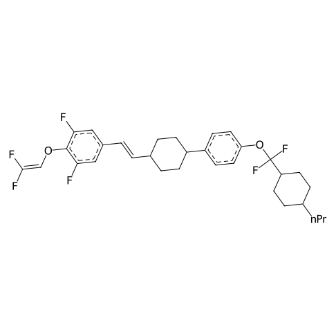 CCCC1CCC(C(F)(F)Oc2ccc(C3CCC(/C=C/c4cc(F)c(OC=C(F)F)c(F)c4)CC3)cc2)CC1